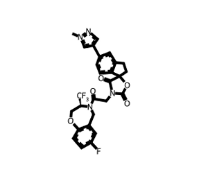 Cn1cc(-c2ccc3c(c2)CCC32OC(=O)N(CC(=O)N3Cc4cc(F)ccc4OC[C@H]3C(F)(F)F)C2=O)cn1